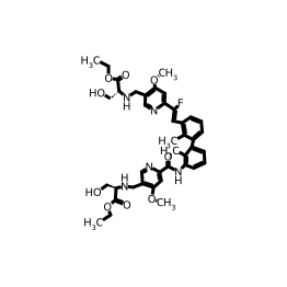 CCOC(=O)[C@@H](CO)NCc1cnc(C(=O)Nc2cccc(-c3cccc(/C=C(\F)c4cc(OC)c(CN[C@H](CO)C(=O)OCC)cn4)c3C)c2C)cc1OC